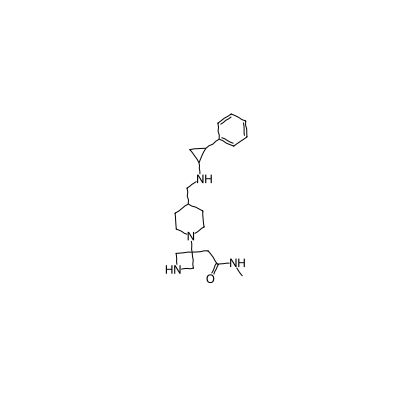 CNC(=O)CC1(N2CCC(CNC3CC3c3ccccc3)CC2)CNC1